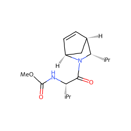 COC(=O)N[C@H](C(=O)N1[C@H]2C=C[C@H](C2)[C@@H]1C(C)C)C(C)C